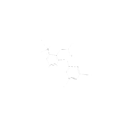 CC(N)Cc1c(Oc2cc(F)cc(F)c2)cccc1C(F)(F)F